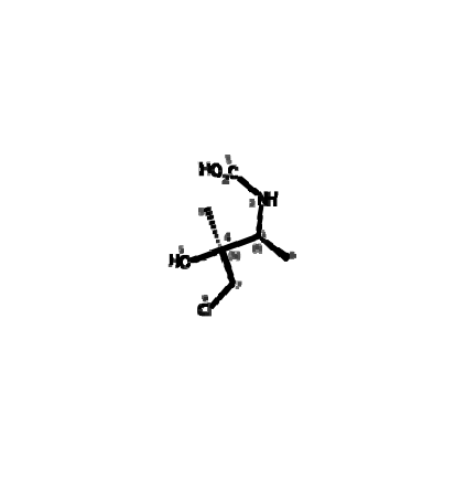 C[C@H](NC(=O)O)[C@](C)(O)CCl